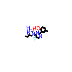 CC[C@@H](N)CN(C)c1nc(-c2cc(C)ccc2O)ncc1F